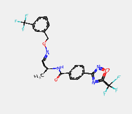 CC(C=NOCc1cccc(C(F)(F)F)c1)NC(=O)c1ccc(-c2noc(C(F)(F)F)n2)cc1